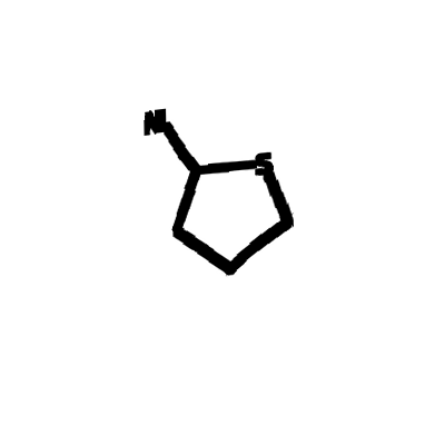 [Ni][CH]1CCCS1